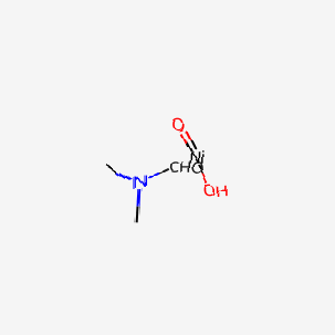 CN(C)C=O.[O]=[Ni][OH]